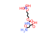 NC(=O)CC(NC(=O)OCCCCON(O)O)C(=O)O